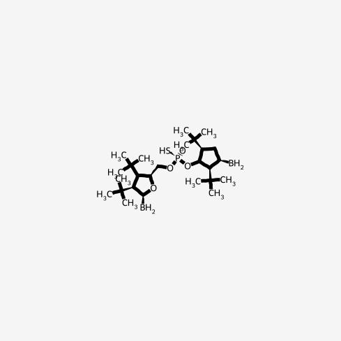 B[C@@H]1C[C@H](C(C)(C)C)C(O[P@@](=O)(S)OC[C@H]2O[C@@H](B)[C@@H](C(C)(C)C)C2C(C)(C)C)[C@@H]1C(C)(C)C